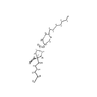 CCCCCCCC1CCC(OC(=O)[C@H]2CC[C@@](C#N)(CCCCCC)CC2)CC1